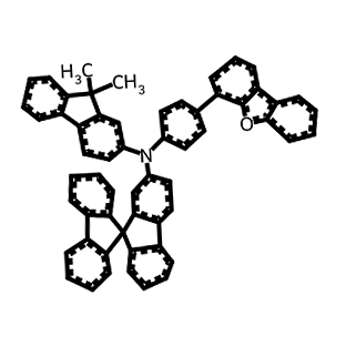 CC1(C)c2ccccc2-c2ccc(N(c3ccc(-c4cccc5c4oc4ccccc45)cc3)c3ccc4c(c3)C3(c5ccccc5-c5ccccc53)c3ccccc3-4)cc21